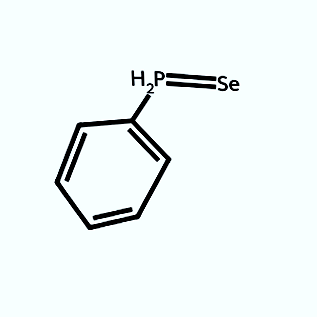 [Se]=[PH2]c1ccccc1